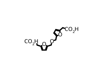 O=C(O)Cc1ccc(COCc2ccc(CC(=O)O)o2)o1